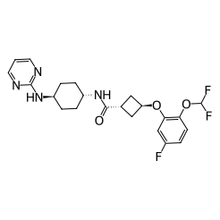 O=C(N[C@H]1CC[C@H](Nc2ncccn2)CC1)[C@H]1C[C@H](Oc2cc(F)ccc2OC(F)F)C1